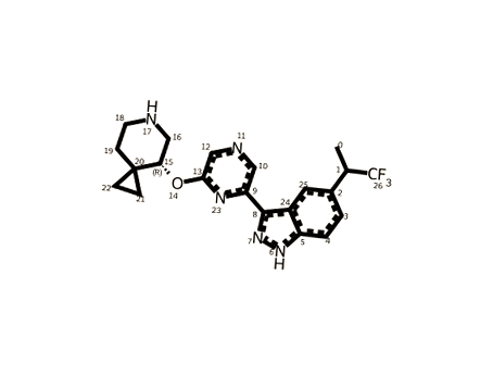 CC(c1ccc2[nH]nc(-c3cncc(O[C@H]4CNCCC45CC5)n3)c2c1)C(F)(F)F